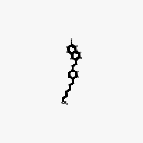 CCCCCCCC1CCC(CCc2ccc3cc(F)ccc3c2)CC1